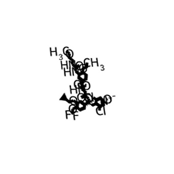 CCOc1ccc(S(=O)(=O)NCC(=O)O[C@@H](Cc2c(Cl)c[n+]([O-])cc2Cl)c2ccc(OC(F)F)c(OCC3CC3)c2)cc1NC(=O)NCCOC